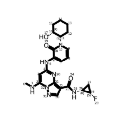 CNc1cc(Nc2cccn([C@H]3CCCC[C@H]3O)c2=O)nc2c(C(=O)N[C@@H]3C[C@@H]3F)cnn12